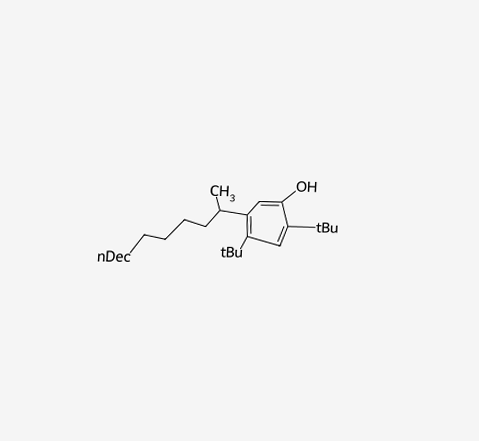 CCCCCCCCCCCCCCC(C)c1cc(O)c(C(C)(C)C)cc1C(C)(C)C